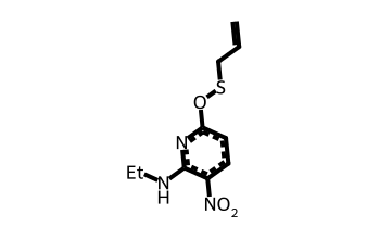 C=CCSOc1ccc([N+](=O)[O-])c(NCC)n1